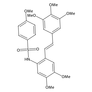 COc1ccc(S(=O)(=O)Nc2cc(OC)c(OC)cc2C=Cc2cc(OC)c(OC)c(OC)c2)cc1